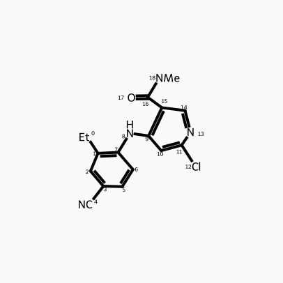 CCc1cc(C#N)ccc1Nc1cc(Cl)ncc1C(=O)NC